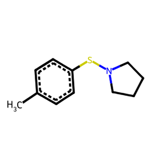 Cc1ccc(SN2CCCC2)cc1